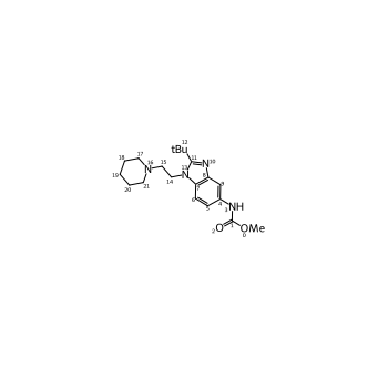 COC(=O)Nc1ccc2c(c1)nc(C(C)(C)C)n2CCN1CCCCC1